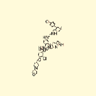 CC1(C)CCC(CNCCNc2ccc(C(=O)NS(=O)(=O)c3ccc(OCC4CCN(C5CCOCC5)CC4)c(Cl)c3)c(-n3ncc4nc5[nH]ccc5cc43)c2)=C(c2ccc(Cl)cc2)C1